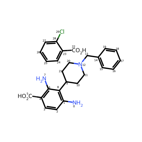 Nc1ccc(C(=O)O)c(N)c1C1CCN(Cc2ccccc2)CC1.O=C(O)c1ccccc1Cl